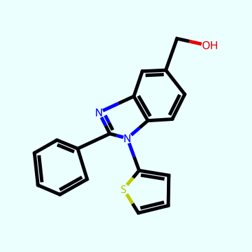 OCc1ccc2c(c1)nc(-c1ccccc1)n2-c1cccs1